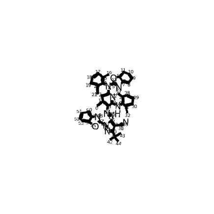 Cc1cc(N(c2nc3ccccc3o2)c2c(C)cccc2C)nc(Nc2c(C)cccc2C)c1/N=N/c1c(C#N)c(C(C)(C)C)nn1-c1nc2ccccc2o1